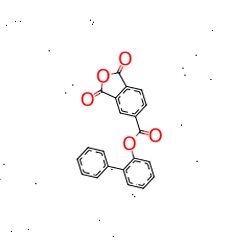 O=C(Oc1ccccc1-c1ccccc1)c1ccc2c(c1)C(=O)OC2=O